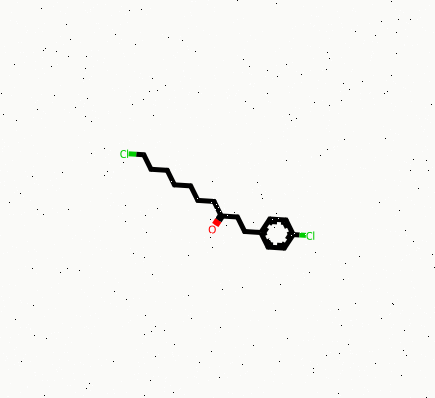 O=C(CCCCCCCCl)CCc1ccc(Cl)cc1